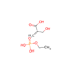 C=C(CO)C(=O)O.CCOP(=O)(O)O